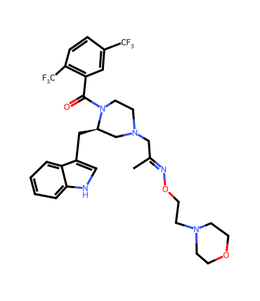 C/C(CN1CCN(C(=O)c2cc(C(F)(F)F)ccc2C(F)(F)F)[C@H](Cc2c[nH]c3ccccc23)C1)=N\OCCN1CCOCC1